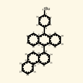 CC(C)(C)c1ccc(-c2c3ccccc3c(-c3cccc4c3ccc3ccccc34)c3ccccc23)cc1